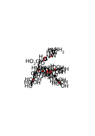 C[C@@H](NC(=O)[C@H](CCC(=O)NC[C@H](O)[C@@H](O)[C@H](O)[C@H](O)CO)NC(=O)CC[C@H](NC(=O)c1ccc(NCc2cnc3nc(N)[nH]c(=O)c3n2)cc1)C(=O)O)C(=O)N[C@@H](CCC(=O)NC[C@H](O)[C@@H](O)[C@H](O)[C@H](O)CO)C(=O)N[C@H](C)C(=O)N[C@@H](CCC(=O)NC[C@H](O)[C@@H](O)[C@H](O)[C@H](O)CO)C(=O)N[C@H](CS)C(=O)O